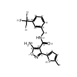 Cc1ccc(-c2noc(N)c2C(=O)NCc2cccc(C(F)(F)F)c2)s1